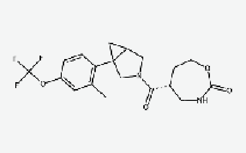 Cc1cc(OC(F)(F)F)ccc1C12CC1CN(C(=O)[C@@H]1CCOC(=O)NC1)C2